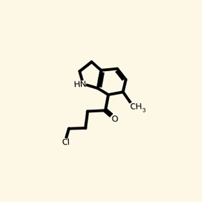 CC1C=CC2=C(NCC2)C1C(=O)CCCCl